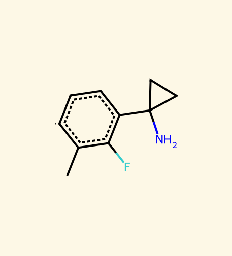 Cc1[c]ccc(C2(N)CC2)c1F